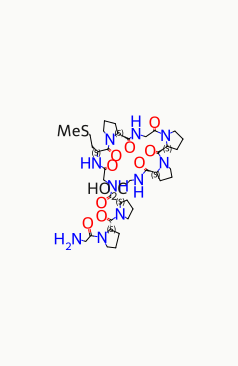 CSCC[C@H](NC(=O)CNC(=O)[C@@H]1CCCN1C(=O)[C@@H]1CCCN1C(=O)CN)C(=O)N1CCC[C@H]1C(=O)NCC(=O)N1CCC[C@H]1C(=O)N1CCC[C@H]1C(=O)NCC(=O)O